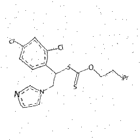 CC(C)CCOC(=S)SC(Cn1ccnc1)c1ccc(Cl)cc1Cl